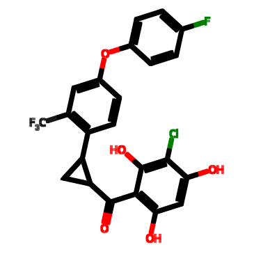 O=C(c1c(O)cc(O)c(Cl)c1O)C1CC1c1ccc(Oc2ccc(F)cc2)cc1C(F)(F)F